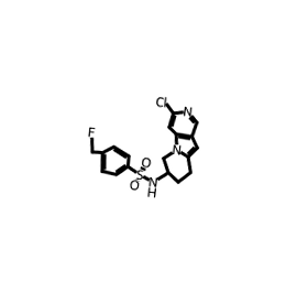 O=S(=O)(NC1CCc2cc3cnc(Cl)cc3n2C1)c1ccc(CF)cc1